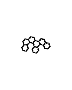 c1ccc2c(c1)ccc1c3ccc4ccc5ccccc5c4c3c3ccccc3c21